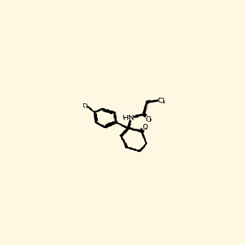 O=C(CCl)NC1(c2ccc(Cl)cc2)CCCCC1=O